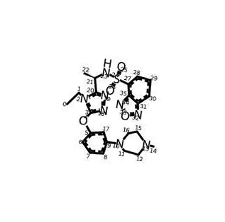 CCn1c(Oc2cccc(N3CCN(C)CC3)c2)nnc1[C@@H](C)NS(=O)(=O)c1cccc2nonc12